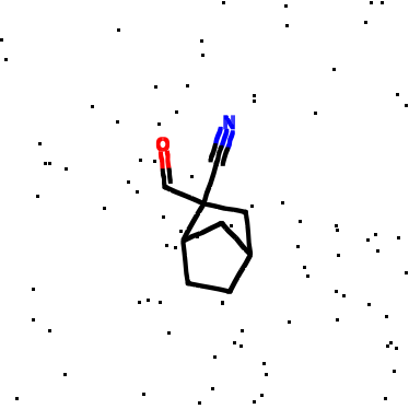 N#CC1(C=O)CC2CCC1C2